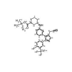 CC(C)(C)OC(=O)N1CCCC(Nc2nccc(-n3c(CC#N)cnc3-c3ccc(F)c(C(F)(F)F)c3)n2)C1